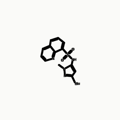 Cn1nc(C(C)(C)C)cc1NS(=O)(=O)c1cccc2cccnc12